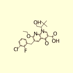 CCOc1nc2c(cc1Cc1cccc(Cl)c1F)c(=O)c(C(=O)O)cn2C(CO)C(C)(C)C